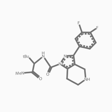 CNC(=O)C(NC(=O)n1nc(-c2ccc(F)c(F)c2)c2c1CCNC2)C(C)(C)C